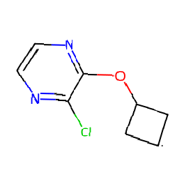 Clc1nccnc1OC1C[CH]C1